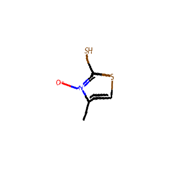 Cc1csc(S)[n+]1[O-]